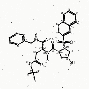 CN(Cc1ccccc1)C(=O)[C@H](CC(=O)OC(C)(C)C)N(C)C(=O)[C@@H]1C[C@@H](S)CN1S(=O)(=O)c1ccc2ccccc2c1